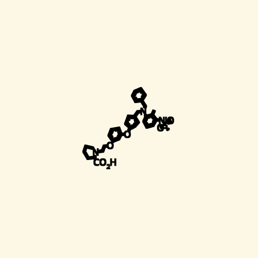 Cc1c(NS(C)(=O)=O)cccc1N(Cc1ccccc1)Cc1ccc(Oc2cccc(OCCN3CCCCC3C(=O)O)c2)cc1